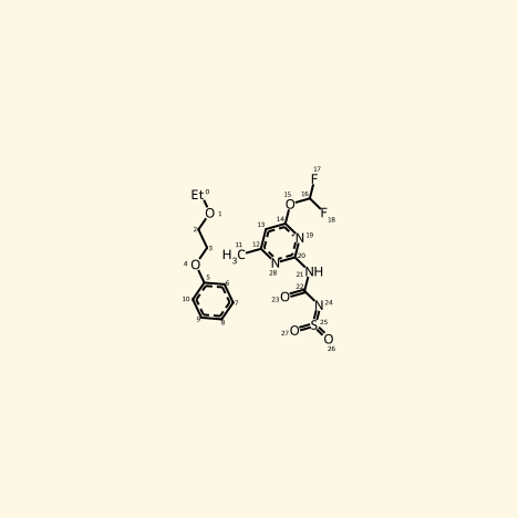 CCOCCOc1ccccc1.Cc1cc(OC(F)F)nc(NC(=O)N=S(=O)=O)n1